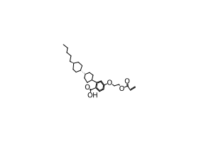 C=CC(=O)OCCOc1ccc(C(=O)O)c(C2CCC([C@H]3CC[C@H](CCCCC)CC3)CC2)c1